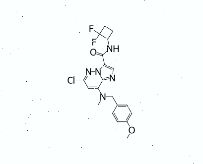 COc1ccc(CN(C)c2cc(Cl)nn3c(C(=O)NC4CCC4(F)F)cnc23)cc1